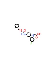 O=C(O)Cn1c2c(c3cc(F)ccc31)C[C@@H](NC(=O)COCc1ccccc1)CC2